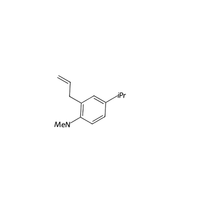 C=CCc1cc(C(C)C)ccc1NC